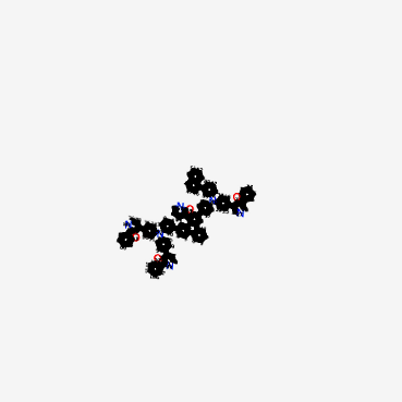 c1cc(-c2ccc(-c3ccccc3-c3cc(-c4ccc(N(c5ccc(-c6cncc7c6oc6ccccc67)cc5)c5cccc(-c6cccc7ccccc67)c5)cc4)c4oc5ncccc5c4c3)cc2)cc(N(c2ccc(-c3ccnc4c3oc3ccccc34)cc2)c2ccc(-c3ccnc4c3oc3ccccc34)cc2)c1